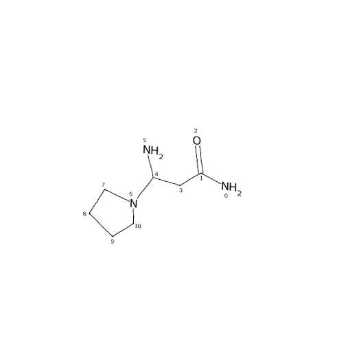 NC(=O)CC(N)N1CCCC1